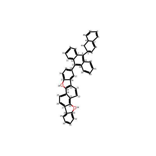 C1=CC2=CC=C(c3c4ccccc4c(-c4ccc5oc6c(ccc7c6ccc6c8ccccc8oc67)c5c4)c4ccccc34)CC2C=C1